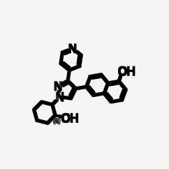 Oc1cccc2cc(-c3cn(C4CCCC[C@@H]4O)nc3-c3ccncc3)ccc12